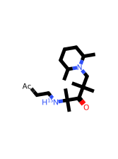 CC(=O)CC[15NH]C(C)(C)C(=O)C(C)(C)CN1C(C)CCCC1C